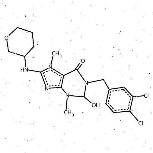 CN1c2nc(NC3CCCOC3)n(C)c2C(=O)N(Cc2ccc(Cl)c(Cl)c2)C1O